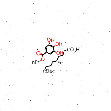 CCCCCCCCCCCCCCCCCC(=O)O.CCCOC(=O)c1cc(O)c(O)c(O)c1.[Fe]